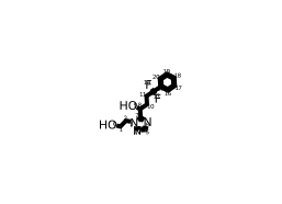 OCCn1ncnc1C(O)CCC(F)(F)c1ccccc1